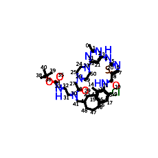 Cc1nc(Nc2ncc(C(=O)Nc3c(C)cccc3Cl)s2)cc(N2CCN(CC(=O)N(CCNC(=O)OC(C)(C)C)CC3CCCCCC3)CC2)n1